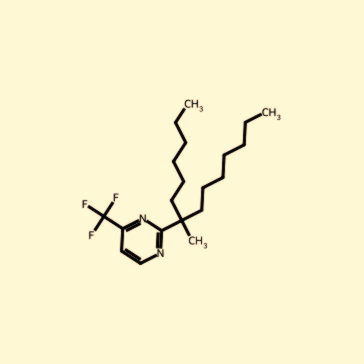 CCCCCCCC(C)(CCCCCC)c1nccc(C(F)(F)F)n1